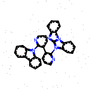 c1cnc(-n2c3ccccc3c3ccccc32)c(-c2cccnc2-n2c3ccccc3n3c4ccccc4nc23)c1